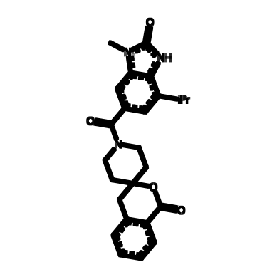 CC(C)c1cc(C(=O)N2CCC3(CC2)Cc2ccccc2C(=O)O3)cc2c1[nH]c(=O)n2C